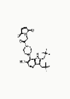 CC(C)(C)Cc1c(SC(C)(C)C)[nH]c2c(N3CCN(C(=O)CN4C(=O)C=CC4=O)CC3)c(O)ccc12